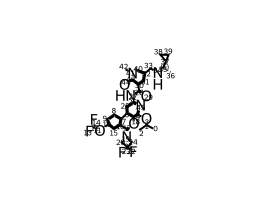 CC(C)Oc1cc(-c2ccc(OC(F)F)cc2C(=O)N2CC(F)(F)C2)cc(NC(=O)c2cc(CN[C@@H](C)C3CC3)cn(C)c2=O)n1